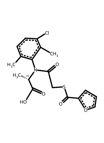 Cc1ccc(Cl)c(C)c1N(C(=O)CSC(=O)c1ccco1)[C@@H](C)C(=O)O